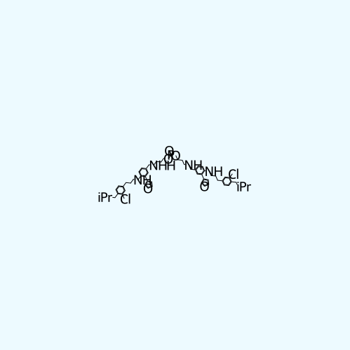 CC(C)Cc1ccc(CCCNc2ccc(CNCCCO[PH](=O)OCCCNCc3ccc(NCCCc4ccc(CC(C)C)c(Cl)c4)c(-c4ccoc4)c3)cc2-c2ccoc2)cc1Cl